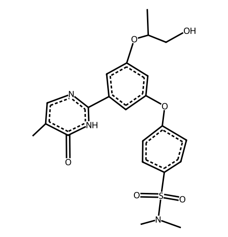 Cc1cnc(-c2cc(Oc3ccc(S(=O)(=O)N(C)C)cc3)cc(OC(C)CO)c2)[nH]c1=O